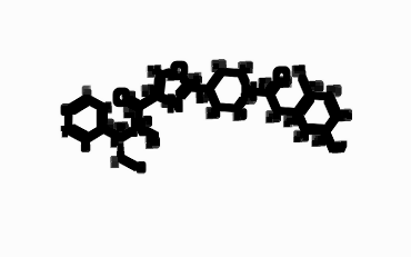 CC[C@H](c1ccccc1)N(C)C(=O)c1coc(C2CCN(C(=O)Cc3cc(C)ccc3C)CC2)n1